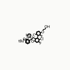 CC(C)(C)OC(=O)N1CCCC1[C@@]1(c2ccccc2)Cc2c(cc(F)c(Cl)c2-c2c(C(=O)O)ccc(OCCO)c2F)O1